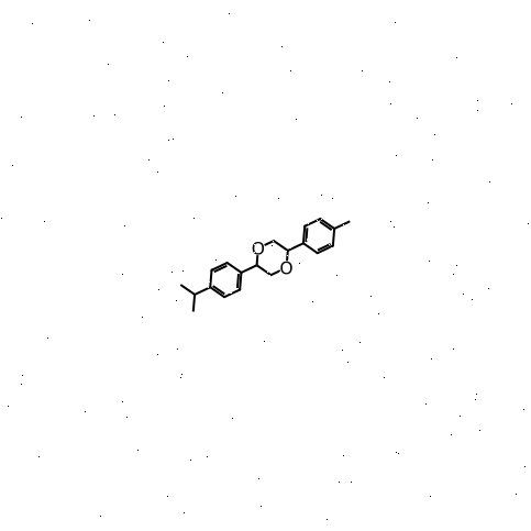 Cc1ccc(C2COC(c3ccc(C(C)C)cc3)CO2)cc1